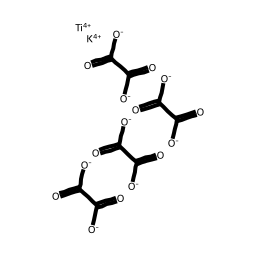 O=C([O-])C(=O)[O-].O=C([O-])C(=O)[O-].O=C([O-])C(=O)[O-].O=C([O-])C(=O)[O-].[K+4].[Ti+4]